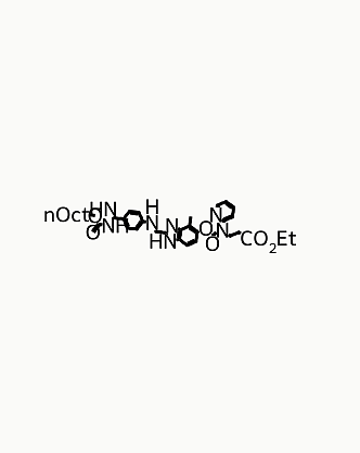 CCCCCCCCOC(=O)NC(=N)c1ccc(NCc2nc3c(C)c(OC(=O)N(CCC(=O)OCC)c4ccccn4)ccc3[nH]2)cc1